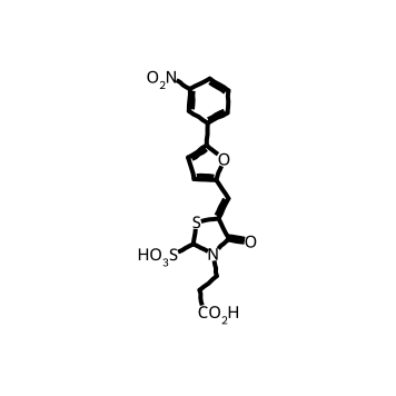 O=C(O)CCN1C(=O)C(=Cc2ccc(-c3cccc([N+](=O)[O-])c3)o2)SC1S(=O)(=O)O